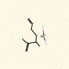 [CH2]C(CCC=C)C(=C)C.[I][Mg][I]